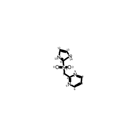 O=S(=O)(Cc1ncccn1)C1=NC=C[N]1